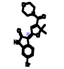 CC1(C)O/C(=C2/C(=O)Nc3cc(Br)ccc32)C=C1C(=O)N1CCOCC1